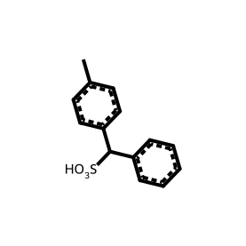 Cc1ccc(C(c2ccccc2)S(=O)(=O)O)cc1